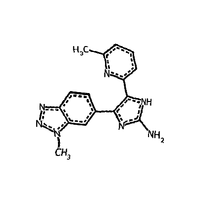 Cc1cccc(-c2[nH]c(N)nc2-c2ccc3nnn(C)c3c2)n1